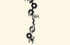 CC(C)(O)c1cccc(-c2ccnc(NCCCCN3CCN(c4cccc(C(F)(F)F)c4)CC3)c2)c1